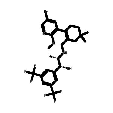 COc1ncc(Br)cc1C1=C(CN[C@@H](C)[C@H](O)c2cc(C(F)(F)F)cc(C(F)(F)F)c2)CC(C)(C)CC1